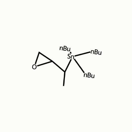 CCC[CH2][Sn]([CH2]CCC)([CH2]CCC)[CH](C)C1CO1